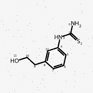 NC(=S)Nc1cccc(CCO)c1